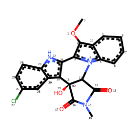 COc1c2n(c3ccccc13)C1C(=O)N(C)C(=O)[C@]1(O)c1c-2[nH]c2ccc(Cl)cc12